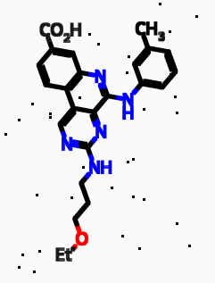 CCOCCCNc1ncc2c(n1)c(Nc1cccc(C)c1)nc1cc(C(=O)O)ccc12